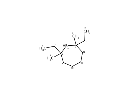 CCC1(C)BC(C)(CC)CCCC1